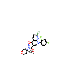 O=C(NC1(C(F)(F)F)CCOCC1)c1cn(-c2ccc(F)cc2F)c2nc(Cl)ccc2c1=O